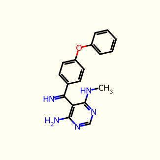 CNc1ncnc(N)c1C(=N)c1ccc(Oc2ccccc2)cc1